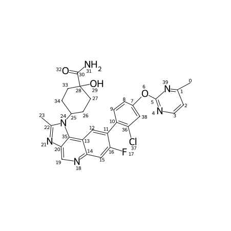 Cc1ccnc(Oc2ccc(-c3cc4c(cc3F)ncc3nc(C)n(C5CCC(O)(C(N)=O)CC5)c34)c(Cl)c2)n1